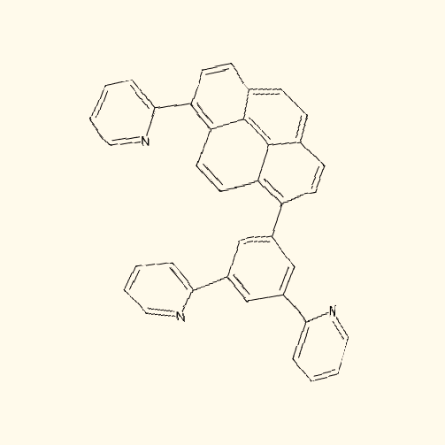 c1ccc(-c2cc(-c3ccccn3)cc(-c3ccc4ccc5ccc(-c6ccccn6)c6ccc3c4c56)c2)nc1